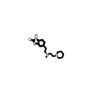 CN(CCc1ccc2[nH]c(=O)sc2c1)CCN1CCCCC1